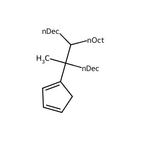 CCCCCCCCCCC(CCCCCCCC)C(C)(CCCCCCCCCC)C1=CC=CC1